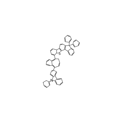 C1=CCCC(n2c3ccccc3c3cc(C4=c5ccccc5=C(C5=CC=CC6c7ccc8c(c7SC56)-c5ccccc5C8(c5ccccc5)c5ccccc5)CC=C4)ccc32)=C1